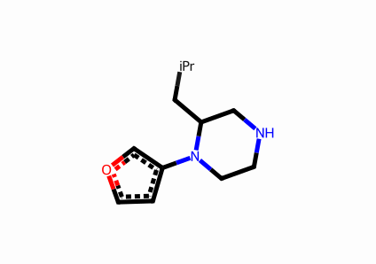 CC(C)CC1CNCCN1c1ccoc1